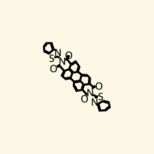 O=C1c2ccc3c4ccc5c6c(ccc(c7ccc(c2c37)C(=O)N1c1nc2ccccc2s1)c64)C(=O)N(c1nc2ccccc2s1)C5=O